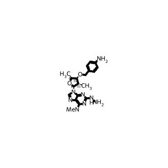 CNc1nc(NN)nc2c1ncn2[C@@H]1O[C@H](C)[C@@H](OCc2ccc(N)cc2)[C@@H]1C